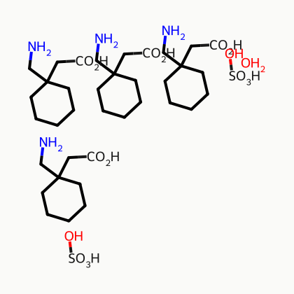 NCC1(CC(=O)O)CCCCC1.NCC1(CC(=O)O)CCCCC1.NCC1(CC(=O)O)CCCCC1.NCC1(CC(=O)O)CCCCC1.O.O=S(=O)(O)O.O=S(=O)(O)O